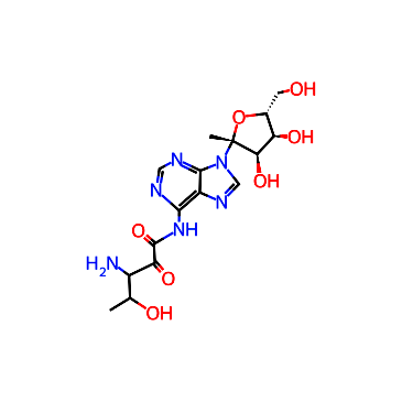 CC(O)C(N)C(=O)C(=O)Nc1ncnc2c1ncn2[C@]1(C)O[C@H](CO)[C@@H](O)[C@H]1O